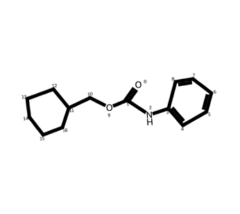 O=C(Nc1ccccc1)OCC1CCCCC1